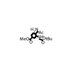 COC(=O)c1ccc(C(N)C(C)=O)c(NCC(=O)OC(C)(C)C)c1